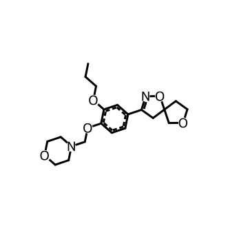 CCCOc1cc(C2=NOC3(CCOC3)C2)ccc1OCN1CCOCC1